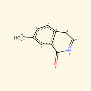 O=C(O)c1ccc2c(c1)C(=O)N=CC2